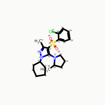 Cc1nn(C2CCCCC2)c(N2CCCC2C(=O)O)c1S(=O)(=O)c1ccccc1Cl